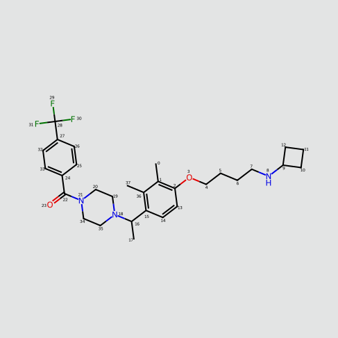 Cc1c(OCCCCNC2CCC2)ccc(C(C)N2CCN(C(=O)c3ccc(C(F)(F)F)cc3)CC2)c1C